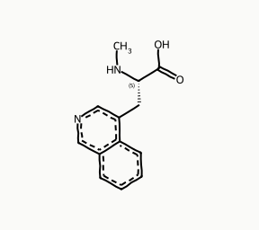 CN[C@@H](Cc1cncc2ccccc12)C(=O)O